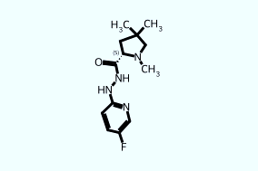 CN1CC(C)(C)C[C@H]1C(=O)NNc1ccc(F)cn1